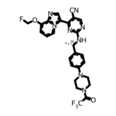 C[C@H](Nc1ncc(C#N)c(-c2cnc3c(OCF)cccn23)n1)c1ccc(N2CCN(C(=O)C(F)(F)F)CC2)cc1